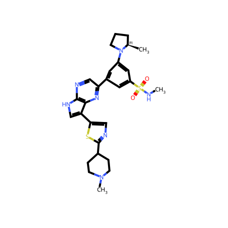 CNS(=O)(=O)c1cc(-c2cnc3[nH]cc(-c4cnc(C5CCN(C)CC5)s4)c3n2)cc(N2CCC[C@H]2C)c1